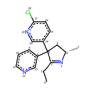 CCC1=N[C@@H](C)CC1(c1cccnc1)c1ccc(Cl)nc1